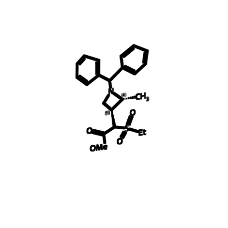 CCS(=O)(=O)C(C(=O)OC)[C@H]1CN(C(c2ccccc2)c2ccccc2)[C@@H]1C